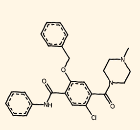 CN1CCN(C(=O)c2cc(OCc3ccccc3)c(C(=O)Nc3ccccc3)cc2Cl)CC1